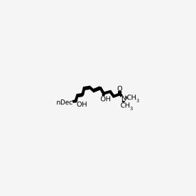 CCCCCCCCCCC(O)/C=C/C=C\C=C\C(O)CCC(=O)N(C)C